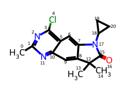 Cc1nc(Cl)c2cc3c(cc2n1)C(C)(C)C(=O)N3C1CC1